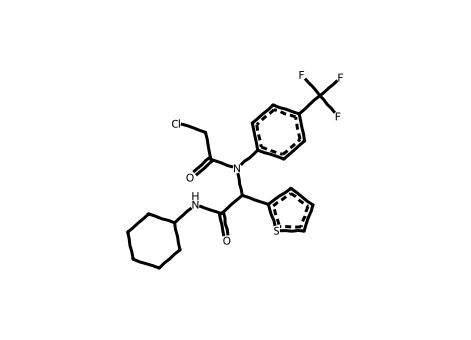 O=C(NC1CCCCC1)C(c1cccs1)N(C(=O)CCl)c1ccc(C(F)(F)F)cc1